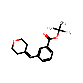 CC(C)(C)OC(=O)c1cccc(C=C2CCOCC2)c1